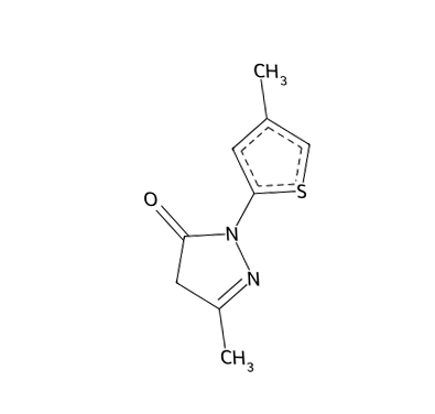 CC1=NN(c2cc(C)cs2)C(=O)C1